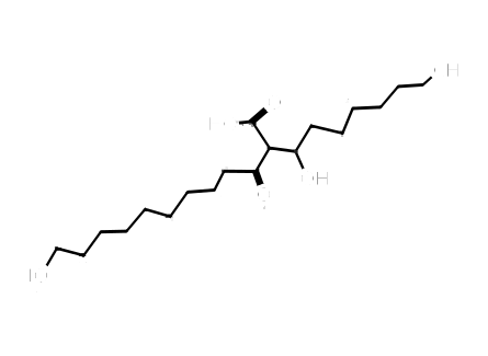 CCCCCCCC(O)C(C(=O)O)C(=O)CCCCCCCCCO